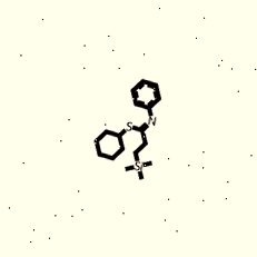 C[Si](C)(C)CCC(=Nc1ccccc1)SC1CCCCC1